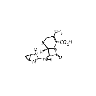 CC1=C(C(=O)O)N2C(=O)C(NC3=NC4CC4N3)[C@@H]2SC1